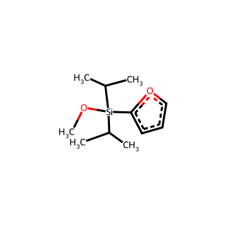 CO[Si](c1ccco1)(C(C)C)C(C)C